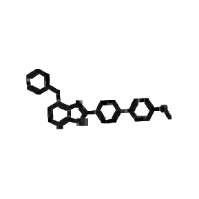 COc1ccc(-c2ccc(-c3nc4c(Cc5ccccc5)ccnc4[nH]3)cc2)cc1